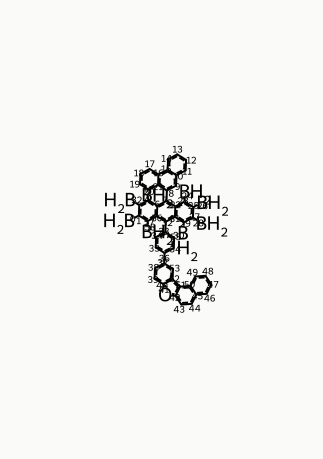 Bc1c(B)c(B)c2c(-c3cc4ccccc4c4ccccc34)c3c(B)c(B)c(B)c(B)c3c(-c3ccc(-c4ccc5oc6ccc7ccccc7c6c5c4)cc3)c2c1B